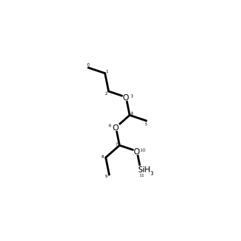 CCCOC(C)OC(CC)O[SiH3]